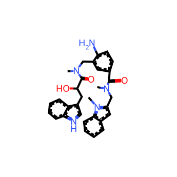 CN(Cc1cc2ccccc2n1C)C(=O)c1ccc(N)c(CN(C)C(=O)C(O)Cc2c[nH]c3ccccc23)c1